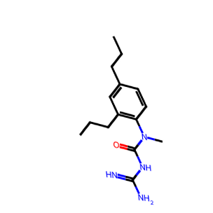 CCCc1ccc(N(C)C(=O)NC(=N)N)c(CCC)c1